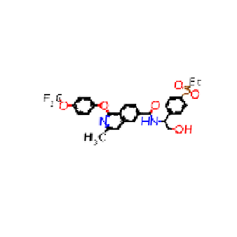 CCS(=O)(=O)c1ccc(C(CO)NC(=O)c2ccc3c(Oc4ccc(OC(F)(F)F)cc4)nc(C)cc3c2)cc1